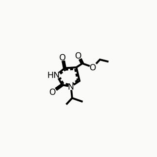 CCOC(=O)c1cn(C(C)C)c(=O)[nH]c1=O